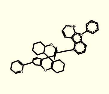 C1=Cc2c(n(-c3ccccc3)c3cccc(C4=CC5OC6CCCCC6C6(C7=C(CC(C8=CCCC=N8)C=C7)OC7=C6CCCC7)C5C=C4)c23)NC1